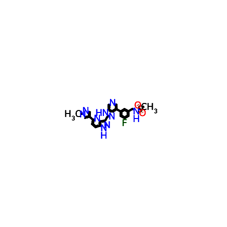 Cn1cc(-c2ccc3[nH]nc(-c4nc5c(-c6cc(F)cc(CNS(C)(=O)=O)c6)cncc5[nH]4)c3n2)cn1